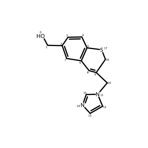 OCc1ccc2c(c1)C=C(Cn1ccnc1)CS2